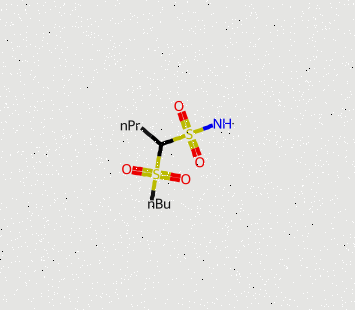 CCCCS(=O)(=O)C(CCC)S([NH])(=O)=O